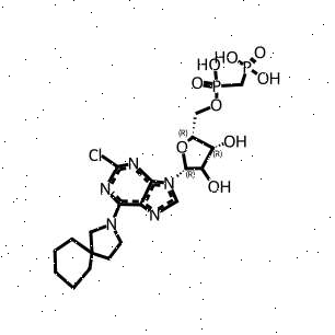 O=P(O)(O)CP(=O)(O)OC[C@H]1O[C@@H](n2cnc3c(N4CCC5(CCCCC5)C4)nc(Cl)nc32)C(O)[C@H]1O